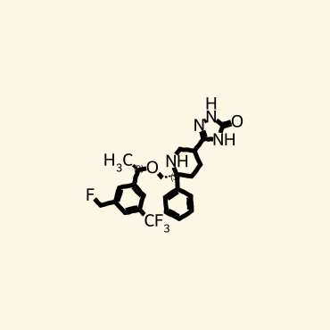 C[C@@H](OC[C@@]1(c2ccccc2)CCC(c2n[nH]c(=O)[nH]2)CN1)c1cc(CF)cc(C(F)(F)F)c1